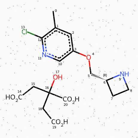 Cc1cc(OC[C@H]2CCN2)cnc1Cl.O=C(O)CC(O)(CC(=O)O)C(=O)O